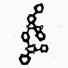 c1ccc(-c2ccc3nc(-c4cccc(-c5nc(-c6ccccc6)nc(-c6ccccc6)n5)c4)c4c5ccccc5oc4c3c2)cc1